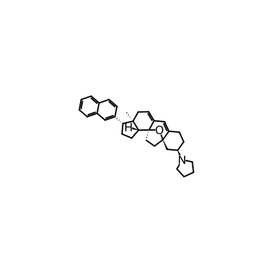 C[C@]12CC=C3C=C4CC[C@@H](N5CCCC5)C[C@]45CC[C@]3(O5)[C@@H]1CC[C@@H]2c1ccc2ccccc2c1